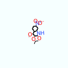 COc1c(OC(C)C)c(=O)[nH]c2cc([N+](=O)[O-])ccc12